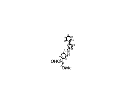 COCCN(C=O)[C@H]1CC[C@H](CNc2nc(-c3ccccc3)cs2)CC1